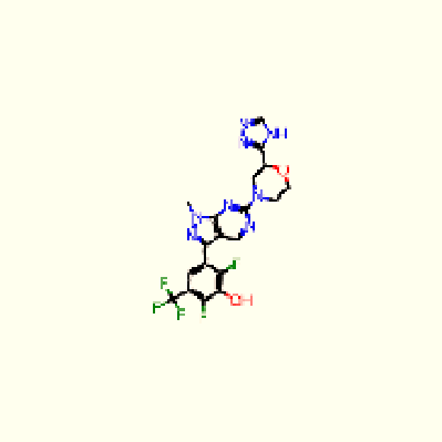 Cn1nc(-c2cc(C(F)(F)F)c(F)c(O)c2F)c2cnc(N3CCOC(c4nnc[nH]4)C3)nc21